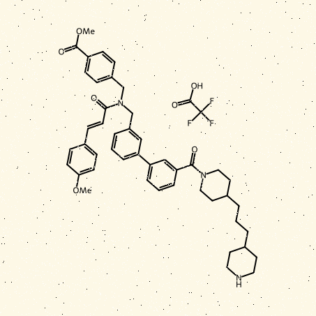 COC(=O)c1ccc(CN(Cc2cccc(-c3cccc(C(=O)N4CCC(CCCC5CCNCC5)CC4)c3)c2)C(=O)/C=C/c2ccc(OC)cc2)cc1.O=C(O)C(F)(F)F